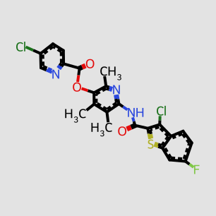 Cc1nc(NC(=O)c2sc3cc(F)ccc3c2Cl)c(C)c(C)c1OC(=O)c1ccc(Cl)cn1